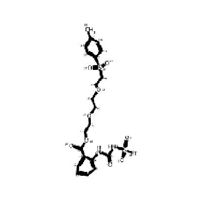 CCS(=O)(=O)NC(=O)Nc1ccccc1C(=O)OCCOCCOCCS(=O)(=O)c1ccc(C)cc1